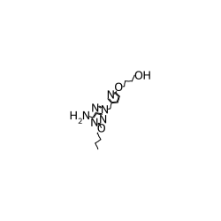 CCCCOc1nc(N)c2ncn(Cc3ccc(OCCCCO)nc3)c2n1